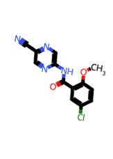 COc1ccc(Cl)cc1C(=O)Nc1cnc(C#N)cn1